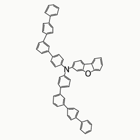 c1ccc(-c2ccc(-c3cccc(-c4ccc(N(c5ccc(-c6cccc(-c7ccc(-c8ccccc8)cc7)c6)cc5)c5ccc6c(c5)oc5ccccc56)cc4)c3)cc2)cc1